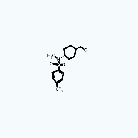 CN([C@H]1CC[C@H](CO)CC1)S(=O)(=O)c1ccc(C(F)(F)F)cc1